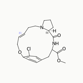 COC(=O)C1Cc2ccc(c(Cl)c2)OC/C=C/CCN2CCC[C@H]2C(=O)N1